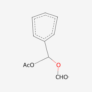 CC(=O)OC(O[C]=O)c1ccccc1